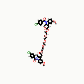 COC1=CCC2C(=C1)C(CC(=O)OCCOCCOCCOCCOC(=O)CC1C3=CC(OC)=CCC3N(C(=O)c3ccc(Cl)cc3)C1C)=C(C)N2C(=O)c1ccc(Cl)cc1